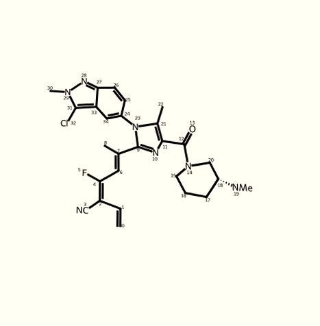 C=C/C(C#N)=C(F)\C=C(/C)c1nc(C(=O)N2CCC[C@@H](NC)C2)c(C)n1-c1ccc2nn(C)c(Cl)c2c1